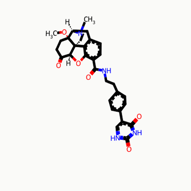 CO[C@@]12CCC(=O)[C@@H]3Oc4c(C(=O)NCCc5ccc(-c6c[nH]c(=O)[nH]c6=O)cc5)ccc5c4[C@@]31CCN(C)[C@@H]2C5